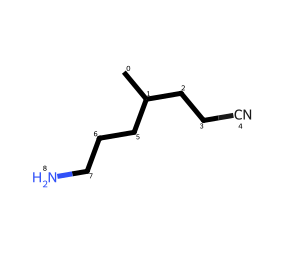 CC(CCC#N)CCCN